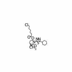 CN1CCC(OC(=O)CCCCCCl)N(c2nnc(C3CCCCC3)s2)C1=O